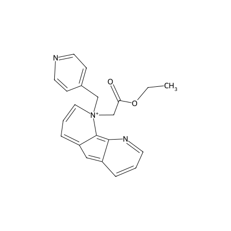 CCOC(=O)C[N+]1(Cc2ccncc2)C=CC=C2C=c3cccnc3=C21